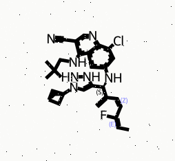 C=C(/C=C\C(F)=C/C)[C@H](Nc1cc(Cl)c2ncc(C#N)c(NCC(C)(C)C)c2c1)C1=CN(C23CC(C2)C3)NN1